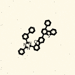 c1ccc(-c2cccc(-c3nc(-c4ccccc4)nc(-c4cccc5c4oc4cc(-c6ccc(-c7ccccc7)c7c6sc6ccccc67)ccc45)n3)c2)cc1